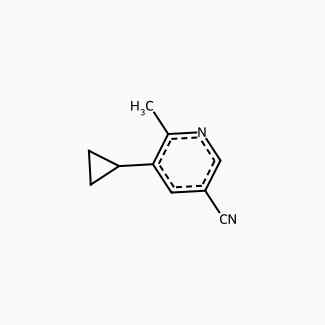 Cc1ncc(C#N)cc1C1CC1